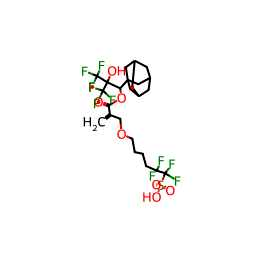 C=C(COCCCCC(F)(F)C(F)(F)S(=O)(=O)O)C(=O)OC(C12CC3CC(CC(C3)C1)C2)C(O)(C(F)(F)F)C(F)(F)F